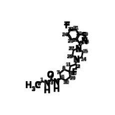 CCNC(=O)NC1CCC(F)(CCN2CCN(c3nsc4cc(F)ccc34)CC2)CC1